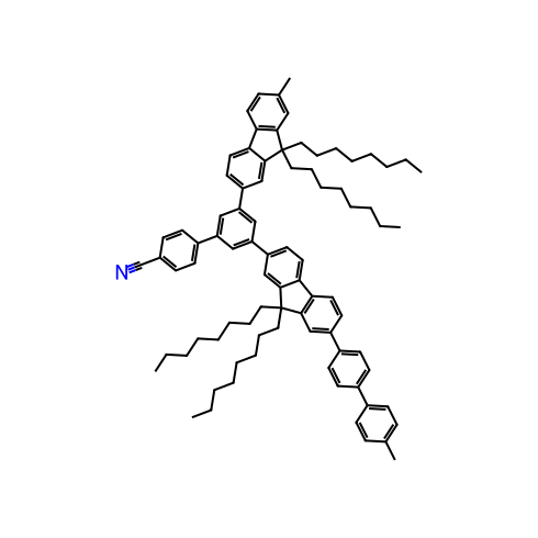 CCCCCCCCC1(CCCCCCCC)c2cc(C)ccc2-c2ccc(-c3cc(-c4ccc(C#N)cc4)cc(-c4ccc5c(c4)C(CCCCCCCC)(CCCCCCCC)c4cc(-c6ccc(-c7ccc(C)cc7)cc6)ccc4-5)c3)cc21